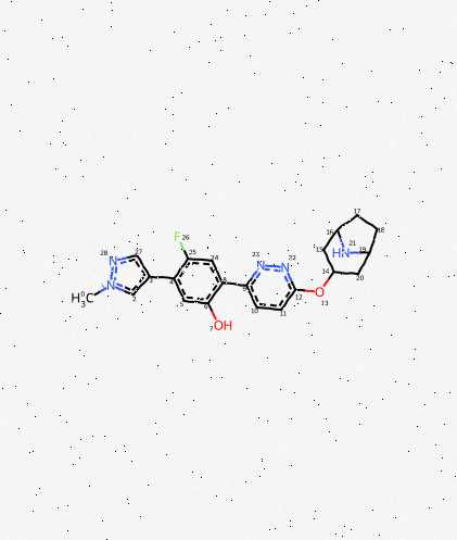 Cn1cc(-c2cc(O)c(-c3ccc(OC4CC5CCC(C4)N5)nn3)cc2F)cn1